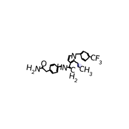 C=C(NCc1ccc(CC(N)=O)cc1)c1ccn(Cc2ccc(C(F)(F)F)cc2)c1/C=C/C